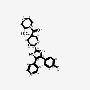 C[C@]1(C(=O)N2CCOCC2)CO[C@@H](c2nc(-c3ccc(F)cc3)c(-c3ccncc3)[nH]2)OC1